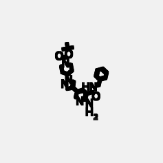 CC(C)(C)OC(=O)N1CCC(n2cc(-c3cnc(N)c(C(=O)NCc4ccccc4)c3)cn2)CC1